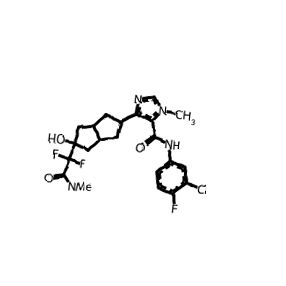 CNC(=O)C(F)(F)C1(O)CC2CC(c3ncn(C)c3C(=O)Nc3ccc(F)c(Cl)c3)CC2C1